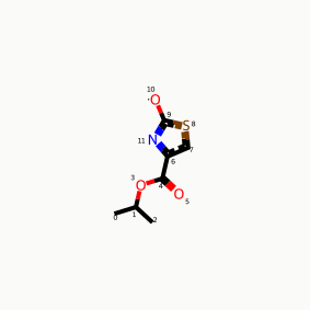 CC(C)OC(=O)c1csc([O])n1